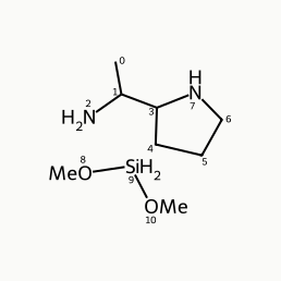 CC(N)C1CCCN1.CO[SiH2]OC